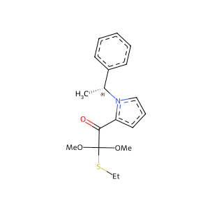 CCSC(OC)(OC)C(=O)c1cccn1[C@H](C)c1ccccc1